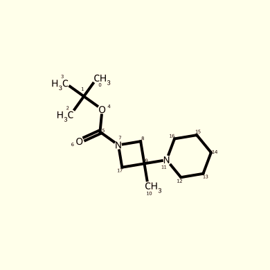 CC(C)(C)OC(=O)N1CC(C)(N2CCCCC2)C1